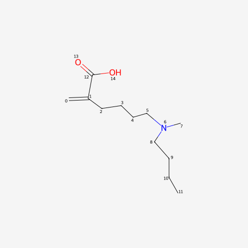 C=C(CCCCN(C)CCCC)C(=O)O